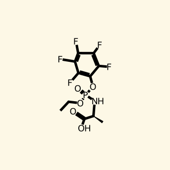 CCOP(=O)(N[C@@H](C)C(=O)O)Oc1c(F)c(F)c(F)c(F)c1F